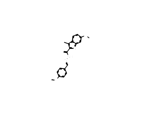 COc1ccc(C=NNC(=O)c2[nH]c3cc(OC)ccc3c2C)cc1